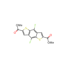 COC(=O)c1cc2c(F)c3sc(C(=O)OC)cc3c(F)c2s1